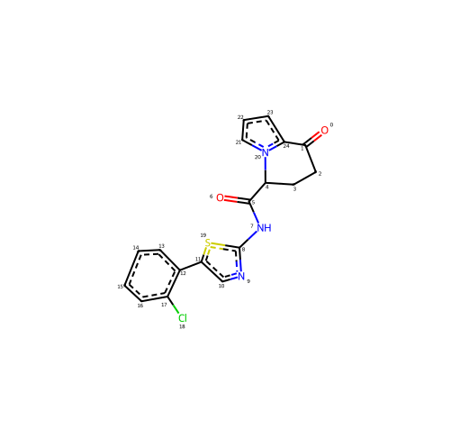 O=C1CCC(C(=O)Nc2ncc(-c3ccccc3Cl)s2)n2cccc21